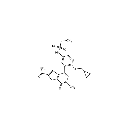 CCS(=O)(=O)Nc1cnc(OCC2CC2)c(-c2cn(C)c(=O)c3sc(C(N)=O)cc23)c1